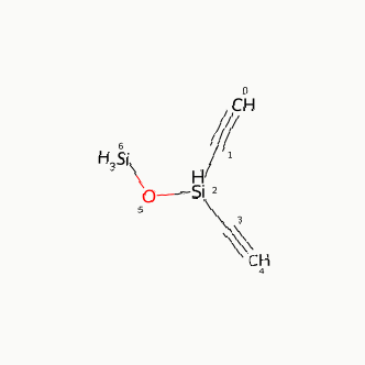 C#C[SiH](C#C)O[SiH3]